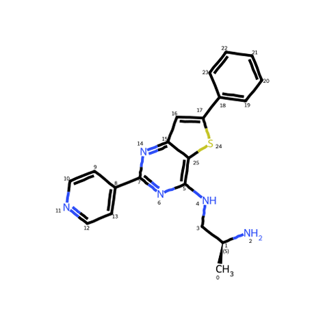 C[C@H](N)CNc1nc(-c2ccncc2)nc2cc(-c3ccccc3)sc12